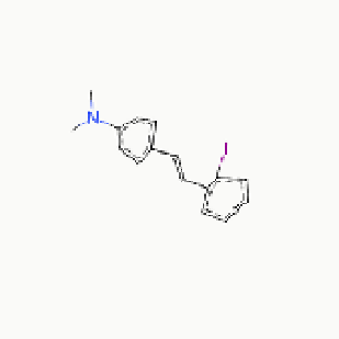 CN(C)c1ccc(/C=C/c2ccccc2I)cc1